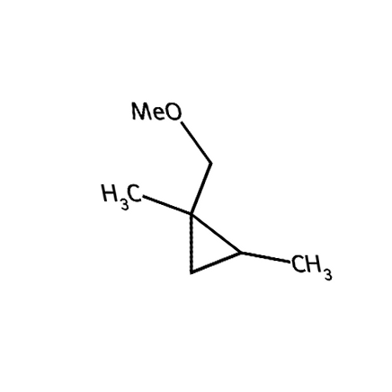 COCC1(C)CC1C